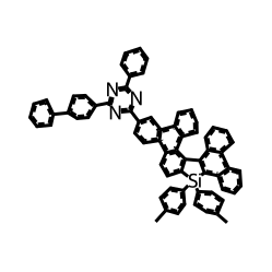 Cc1ccc([Si]2(c3ccc(C)cc3)c3ccc4c5ccc(-c6nc(-c7ccccc7)nc(-c7ccc(-c8ccccc8)cc7)n6)cc5c5ccccc5c4c3-c3c2c2ccccc2c2ccccc32)cc1